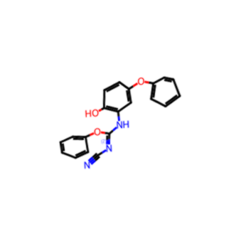 N#C/N=C(/Nc1cc(Oc2ccccc2)ccc1O)Oc1ccccc1